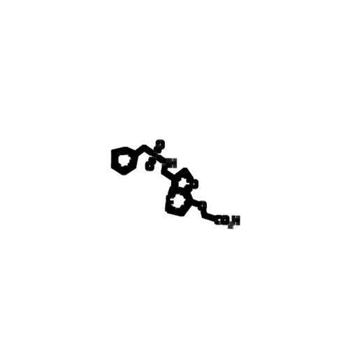 O=C(O)COc1cccc2c(CNS(=O)(=O)Cc3ccccc3)coc12